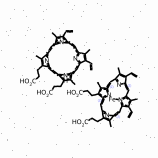 C=CC1=C(C)C2=NC/1=C\c1c(C)c(C=C)c3[n]1[Fe][n]1/c(c(C)c(CCC(=O)O)/c1=C/C1=NC(=C\3)/C(C)=C1CCC(=O)O)=C\2.C=CC1=C(C)c2cc3[nH]c(cc4nc(cc5[nH]c(cc1n2)c(C)c5CCC(=O)O)C(CCC(=O)O)=C4C)c(C)c3C=C